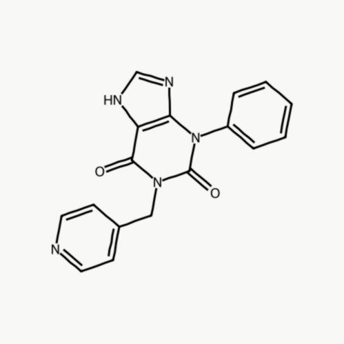 O=c1c2[nH]cnc2n(-c2ccccc2)c(=O)n1Cc1ccncc1